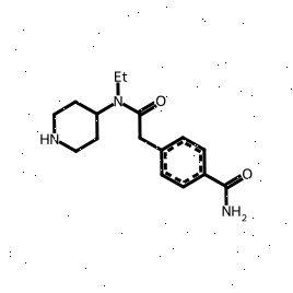 CCN(C(=O)Cc1ccc(C(N)=O)cc1)C1CCNCC1